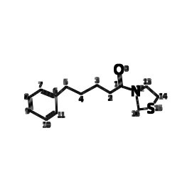 O=C(CCCCc1ccccc1)N1CCSC1